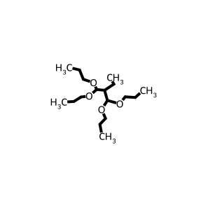 CCCOC(OCCC)C(CC)C(OCCC)OCCC